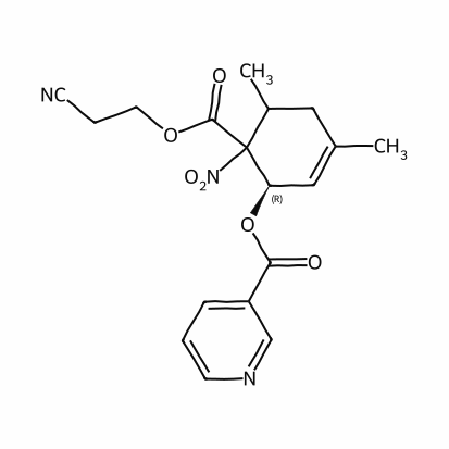 CC1=C[C@@H](OC(=O)c2cccnc2)C(C(=O)OCCC#N)([N+](=O)[O-])C(C)C1